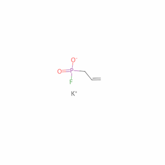 C=CCP(=O)([O-])F.[K+]